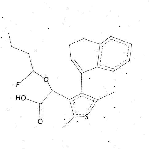 CCCC(F)OC(C(=O)O)c1c(C)sc(C)c1C1=CCCc2ccccc21